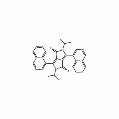 CC(C)N1C(=O)C2=C(c3cncc4ccccc34)N(C(C)C)C(=O)C2=C1c1cncc2ccccc12